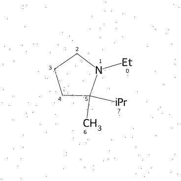 CCN1CCCC1(C)C(C)C